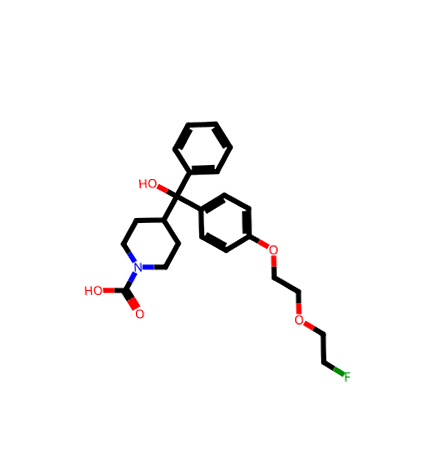 O=C(O)N1CCC(C(O)(c2ccccc2)c2ccc(OCCOCCF)cc2)CC1